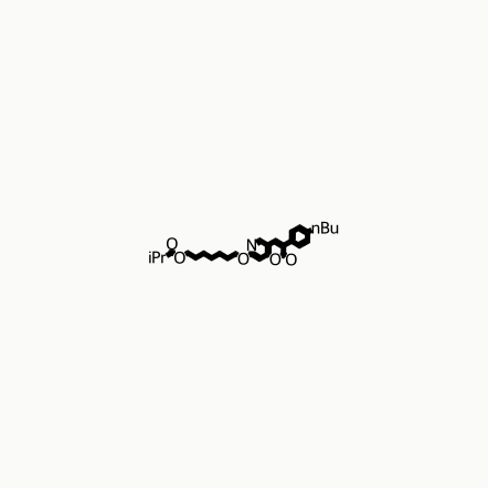 CCCCc1ccc(-c2cc3cnc(OCCCCCCCOC(=O)C(C)C)cc3oc2=O)cc1